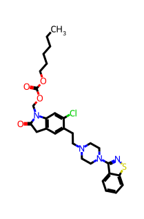 CCCCCCOC(=O)OCN1C(=O)Cc2cc(CCN3CCN(c4nsc5ccccc45)CC3)c(Cl)cc21